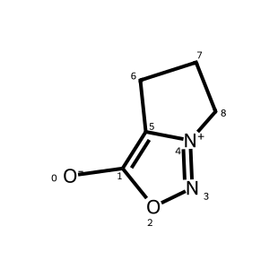 [O-]c1on[n+]2c1CCC2